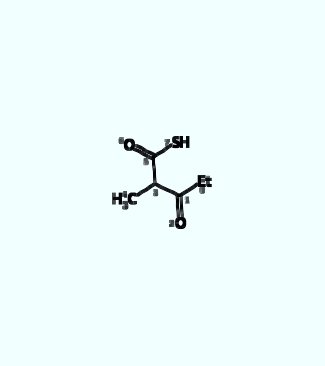 CCC(=O)C(C)C(=O)S